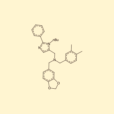 CCCCn1c(CN(Cc2ccc(C)c(C)c2)Cc2ccc3c(c2)OCO3)cnc1-c1ccccc1